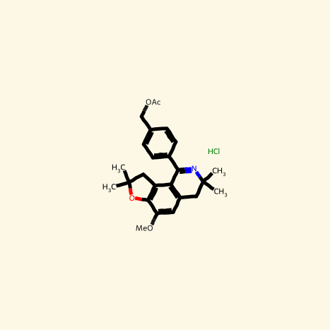 COc1cc2c(c3c1OC(C)(C)C3)C(c1ccc(COC(C)=O)cc1)=NC(C)(C)C2.Cl